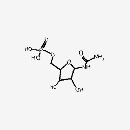 NC(=O)NC1OC(COP(=O)(O)O)C(O)C1O